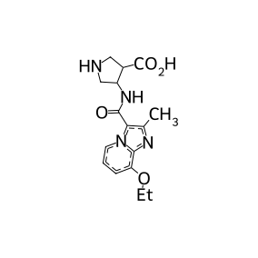 CCOc1cccn2c(C(=O)NC3CNCC3C(=O)O)c(C)nc12